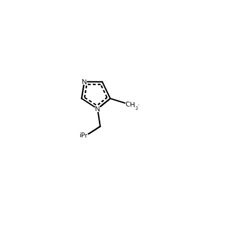 [CH2]c1cncn1CC(C)C